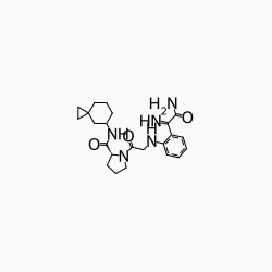 N=C(C(N)=O)c1ccccc1NCC(=O)N1CCC[C@H]1C(=O)NC1CCCC2(CC2)C1